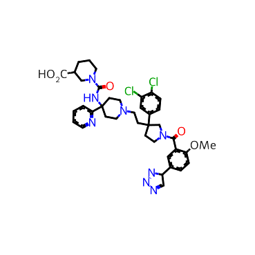 COc1ccc(C2C=NN=N2)cc1C(=O)N1CCC(CCN2CCC(NC(=O)N3CCCC(C(=O)O)C3)(c3ccccn3)CC2)(c2ccc(Cl)c(Cl)c2)C1